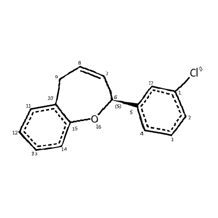 Clc1cccc([C@@H]2C=CCc3ccccc3O2)c1